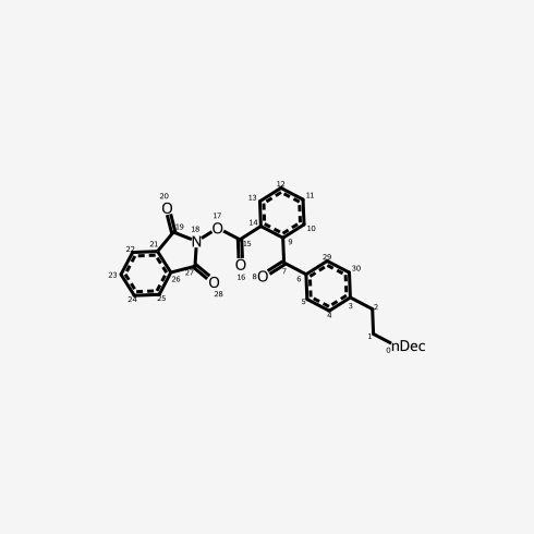 CCCCCCCCCCCCc1ccc(C(=O)c2ccccc2C(=O)ON2C(=O)c3ccccc3C2=O)cc1